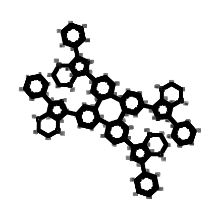 c1ccc(-c2sc(-c3ccc4c(c3)-c3cc(-c5sc(-c6ccccc6)c6c5OCCO6)ccc3-c3ccc(-c5sc(-c6ccccc6)c6c5OCCO6)cc3-c3cc(-c5sc(-c6ccccc6)c6c5OCCO6)ccc3-4)c3c2OCCO3)cc1